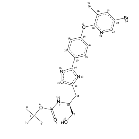 CC(C)(C)OC(=O)N[C@H](CO)Cc1nc(-c2ccc(Oc3ncc(Br)cc3F)cc2)no1